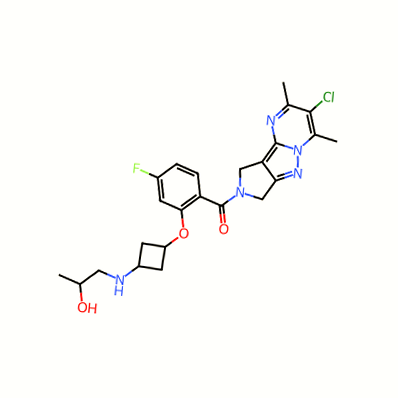 Cc1nc2c3c(nn2c(C)c1Cl)CN(C(=O)c1ccc(F)cc1OC1CC(NCC(C)O)C1)C3